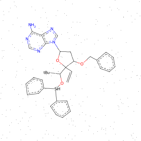 C=CC1(C(O[SiH](c2ccccc2)c2ccccc2)C(C)(C)C)OC(n2cnc3c(N)ncnc32)CC1OCc1ccccc1